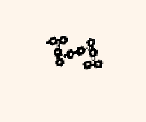 CC1C=Cc2c(n(-c3ccc4c5ccccc5n(-c5ccc(-c6ccc(-n7c8c(c9ccc(-n%10c%11ccccc%11c%11ccccc%11%10)cc97)CCC=C8)cc6)cc5)c4c3)c3ccccc23)C1